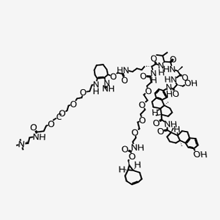 CC(C)[C@H](NC(=O)[C@@H](CCCCNC(=O)COC1CCCCC/C(NCCOCCOCCOCCOCCC(=O)NCC[N+](C)(C)C)=C\1N=N)NC(=O)CCOCCOCCOCCOCCNC(=O)OC[C@@H]1[C@@H]2CC/C=C\CC[C@@H]21)C(=O)N[C@@H](C)C(=O)N[C@@H](CO)C(=O)Nc1ccc2c(c1)[C@@]1(C)CCC[C@](C)(C(=O)NC(=O)[C@@]3(C)CCC[C@]4(C)c5cc(O)ccc5CC[C@@H]34)[C@@H]1CC2